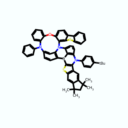 CC(C)(C)c1ccc(N2c3cccc4c3B(c3ccc5cc3N4c3c(ccc4c3sc3ccccc34)Oc3ccccc3N5c3ccccc3)c3sc4cc5c(cc4c32)C(C)(C)CC5(C)C)cc1